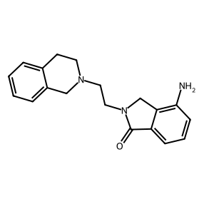 Nc1cccc2c1CN(CCN1CCc3ccccc3C1)C2=O